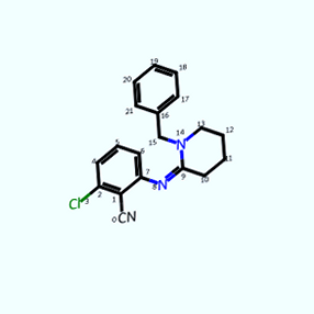 N#Cc1c(Cl)cccc1N=C1CCCCN1Cc1ccccc1